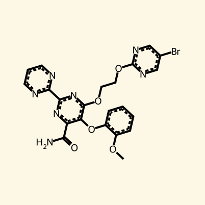 COc1ccccc1Oc1c(OCCOc2ncc(Br)cn2)nc(-c2ncccn2)nc1C(N)=O